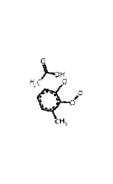 CC(=O)O.Cc1cccc(Cl)c1OCl